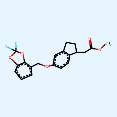 COC(=O)CC1CCc2cc(OCc3cccc4c3OC(F)(F)O4)ccc21